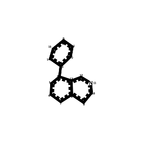 [c]1ccc(-c2cccc3ccncc23)cc1